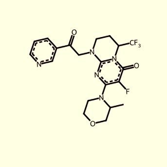 CC1COCCN1c1nc2n(c(=O)c1F)C(C(F)(F)F)CCN2CC(=O)c1cccnc1